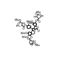 COc1cc(-c2c3n(c4c(=O)oc5cc(OC(=O)[C@H](CC(C)C)NC(=O)OC(C)(C)C)c(OC)cc5c24)CCc2c-3cc(OC)c(OC)c2OC(=O)[C@H](CC(C)C)NC(=O)OC(C)(C)C)ccc1OC(=O)[C@H](CC(C)C)NC(=O)OC(C)(C)C